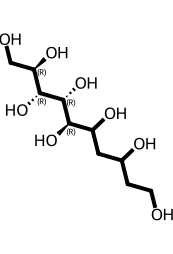 OCCC(O)CC(O)[C@@H](O)[C@@H](O)[C@H](O)[C@H](O)CO